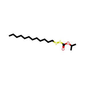 CCCCCCCCCCCCSSC(=O)OC(C)C